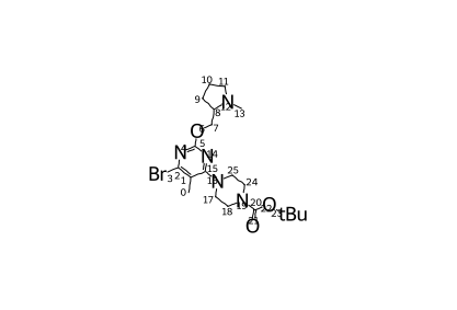 Cc1c(Br)nc(OCC2CCCN2C)nc1N1CCN(C(=O)OC(C)(C)C)CC1